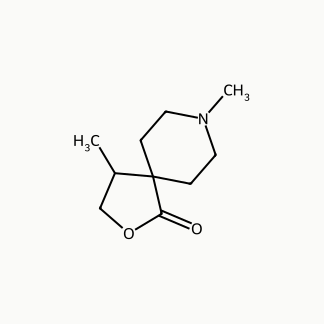 CC1COC(=O)C12CCN(C)CC2